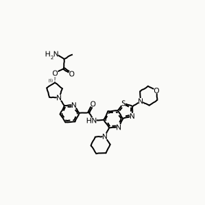 CC(N)C(=O)O[C@H]1CCN(c2cccc(C(=O)Nc3cc4sc(N5CCOCC5)nc4nc3N3CCCCC3)n2)C1